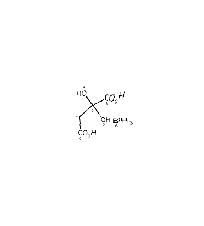 O=C(O)CC(O)(O)C(=O)O.[BiH3]